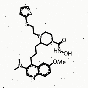 COc1ccc2ncc(N(C)C)c(CCCC3CC(C(=O)NO)CCN3CCSc3cccs3)c2c1